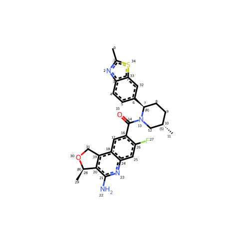 Cc1nc2ccc([C@H]3CC[C@H](C)CN3C(=O)c3cc4c5c(c(N)nc4cc3F)[C@@H](C)OC5)cc2s1